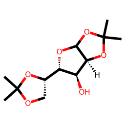 CC1(C)OC[C@@H]([C@@H]2OC3OC(C)(C)O[C@H]3[C@H]2O)O1